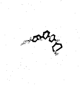 CC(C)N1CCC(NC2CCN(c3cccc(-c4cc5cc(S(=O)(=O)NC(C)(C)C)ccc5[nH]4)c3)CC2)CC1